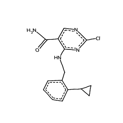 NC(=O)c1cnc(Cl)nc1NCc1ccccc1C1CC1